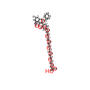 Cc1cc(C)c(/C(C(=O)O)=C(\OCc2ccccc2)C2CCC(OCCOCCOCCOCCOCCOCCOCC(=O)O)CC2)c(C)c1